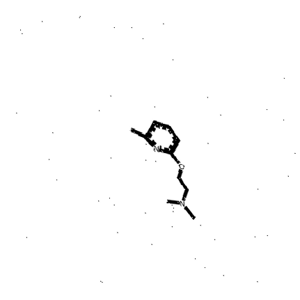 Cc1cccc(OCCN(C)C)n1